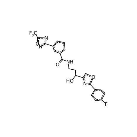 O=C(NCCC(O)c1coc(-c2ccc(F)cc2)n1)c1cccc(-c2noc(C(F)(F)F)n2)c1